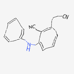 N#CCc1cccc(Nc2ccccc2)c1C#N